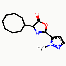 Cn1nccc1C1=NC(C2CCCCCCC2)C(=O)O1